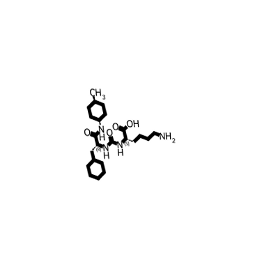 C[C@H]1CC[C@H](NC(=O)[C@@H](CC2CCCCC2)NC(=O)N[C@@H](CCCCN)C(=O)O)CC1